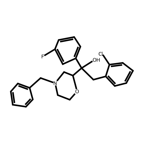 OC(Cc1ccccc1Cl)(c1cccc(F)c1)C1CN(Cc2ccccc2)CCO1